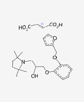 CC1(C)CCC(C)(C)N1CC(O)COc1ccccc1OCc1ccco1.O=C(O)/C=C/C(=O)O